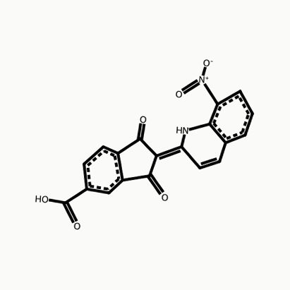 O=C(O)c1ccc2c(c1)C(=O)C(=C1C=Cc3cccc([N+](=O)[O-])c3N1)C2=O